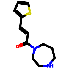 O=C(C=Cc1cccs1)N1CCCNCC1